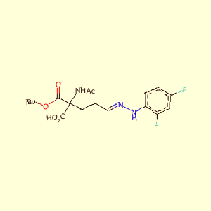 CCC(C)OC(=O)C(CCC=NNc1ccc(F)cc1F)(NC(C)=O)C(=O)O